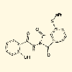 CCCSc1cccc2c1C(=O)N(NC(=O)c1ccccc1O)C2=O